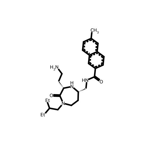 CCC(CC)CN1CC[C@@H](CNC(=O)c2ccc3cc(C)ccc3c2)N[C@@H](CCN)C1=O